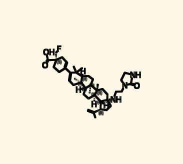 C=C(C)[C@@H]1CC[C@]2(NCCN3CCNC3=O)CC[C@]3(C)[C@H](CC[C@@H]4[C@@]5(C)CC=C(C6=CC[C@](CF)(C(=O)O)CC6)C(C)(C)[C@@H]5CC[C@]43C)[C@@H]12